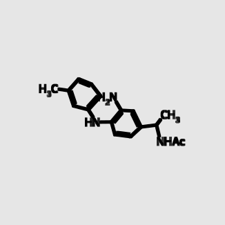 CC(=O)NC(C)c1ccc(Nc2cccc(C)c2)c(N)c1